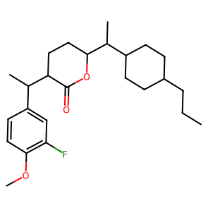 CCCC1CCC(C(C)C2CCC(C(C)c3ccc(OC)c(F)c3)C(=O)O2)CC1